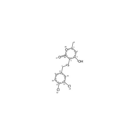 Cc1cc(O)c(SCc2ccc(Cl)c(Cl)c2)c(=O)o1